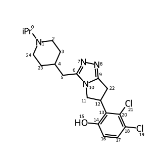 CC(C)N1CCC(Cc2nnc3n2CC(c2c(O)ccc(Cl)c2Cl)C3)CC1